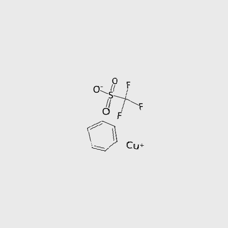 O=S(=O)([O-])C(F)(F)F.[Cu+].c1ccccc1